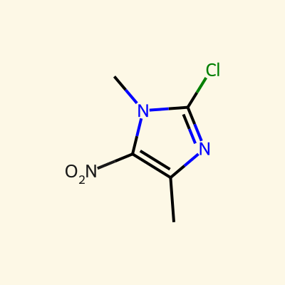 Cc1nc(Cl)n(C)c1[N+](=O)[O-]